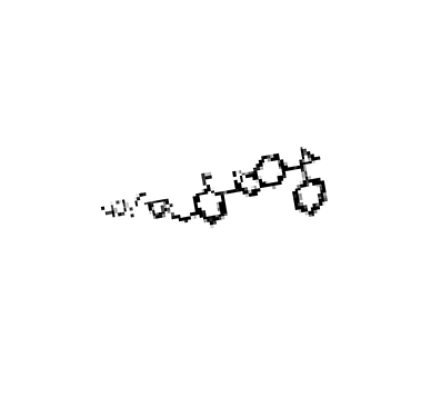 O=C(O)C1CN(Cc2ccc(-c3cc4cc(C5(c6ccccc6)CC5)ccc4s3)c(F)c2)C1